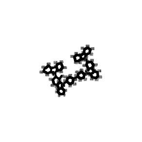 CC1c2c(c3ccccc3n2-c2ccc(-c3ccc(-n4c5ccccc5c5ccc(-n6c7ccccc7c7ccccc76)cc54)cc3)cc2)C=CC1N1c2ccccc2C2C=CC=CC21